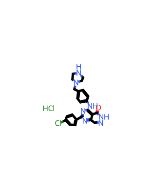 Cl.O=c1[nH]ncc2nc(-c3ccc(Cl)cc3)nc(Nc3ccc(CN4CCNCC4)cc3)c12